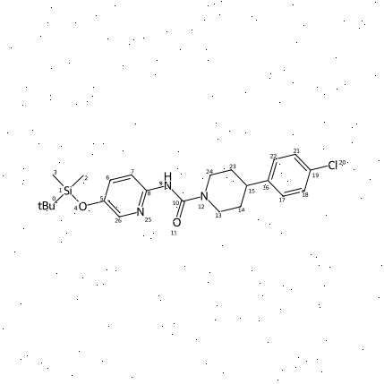 CC(C)(C)[Si](C)(C)Oc1ccc(NC(=O)N2CCC(c3ccc(Cl)cc3)CC2)nc1